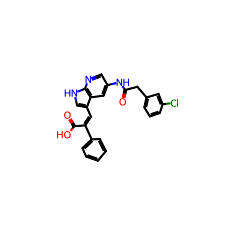 O=C(Cc1cccc(Cl)c1)Nc1cnc2[nH]cc(C=C(C(=O)O)c3ccccc3)c2c1